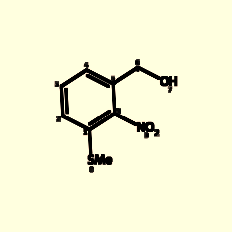 CSc1cccc([CH]O)c1[N+](=O)[O-]